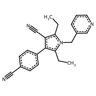 CCc1c(C#N)c(-c2ccc(C#N)cc2)c(CC)n1Cc1cccnc1